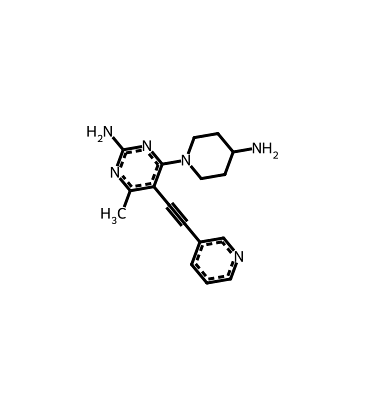 Cc1nc(N)nc(N2CCC(N)CC2)c1C#Cc1cccnc1